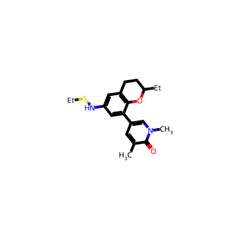 CCSNc1cc2c(c(-c3cc(C)c(=O)n(C)c3)c1)OC(CC)CC2